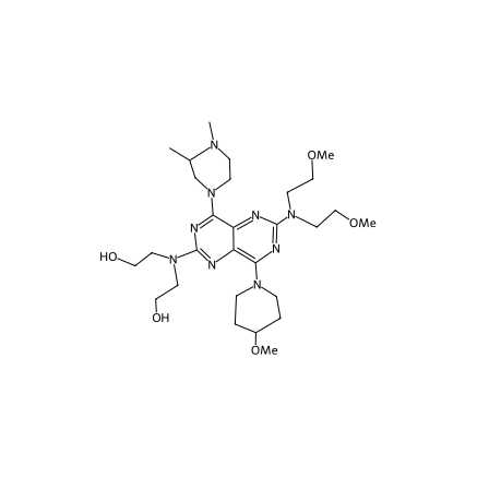 COCCN(CCOC)c1nc(N2CCC(OC)CC2)c2nc(N(CCO)CCO)nc(N3CCN(C)C(C)C3)c2n1